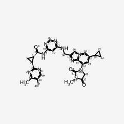 Cc1nc([C@H]2C[C@@H]2C(=O)Nc2cc(NCc3cn4cc(C5CC5)cc(N5CC(=O)N(C)C5=O)c4n3)ncn2)ncc1F